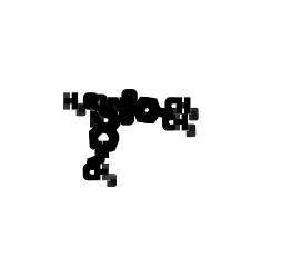 CCCN1CCc2cc(NS(=O)(=O)c3ccc(C(C)C)cc3)c(OC)nc2CC1